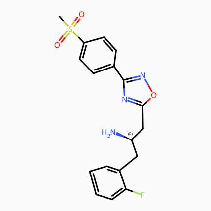 CS(=O)(=O)c1ccc(-c2noc(C[C@H](N)Cc3ccccc3F)n2)cc1